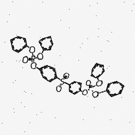 O=P(Oc1ccccc1)(Oc1ccccc1)Oc1ccc(S(=O)(=O)c2ccc(OP(=O)(Oc3ccccc3)Oc3ccccc3)cc2)cc1